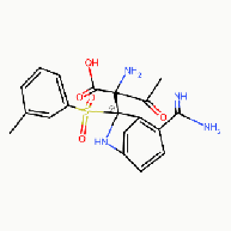 CC(=O)C(N)(C(=O)O)[C@]1(S(=O)(=O)c2cccc(C)c2)Nc2ccc(C(=N)N)c1c2